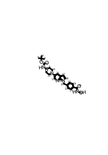 CC(C)(C)OC(=O)NN1CCN(c2cnc3c(ccn3Cc3ccc(C(=O)NO)cc3)c2)CC1